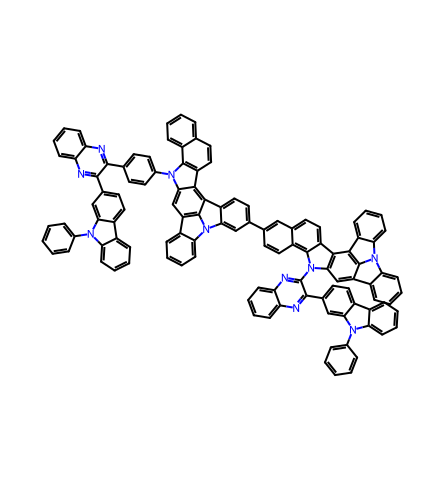 c1ccc(-n2c3ccccc3c3ccc(-c4nc5ccccc5nc4-c4ccc(-n5c6cc7c8ccccc8n8c9cc(-c%10ccc%11c(ccc%12c%13c%14c%15ccccc%15n%15c%16ccccc%16c(cc%13n(-c%13nc%16ccccc%16nc%13-c%13ccc%16c%17ccccc%17n(-c%17ccccc%17)c%16c%13)c%11%12)c%14%15)c%10)ccc9c(c6c6ccc9ccccc9c65)c78)cc4)cc32)cc1